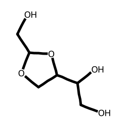 OCC1OCC(C(O)CO)O1